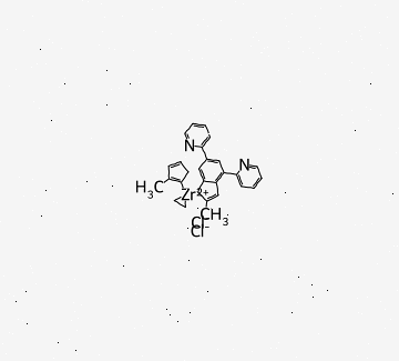 CC1=Cc2c(-c3ccccn3)cc(-c3ccccn3)cc2[CH]1[Zr+2]1([C]2=C(C)C=CC2)[CH2][CH2]1.[Cl-].[Cl-]